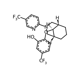 Oc1cc(C(F)(F)F)ccc1O[C@@H]1[C@@H]2CCC[C@H]1CN(c1ccc(C(F)(F)F)cn1)C2